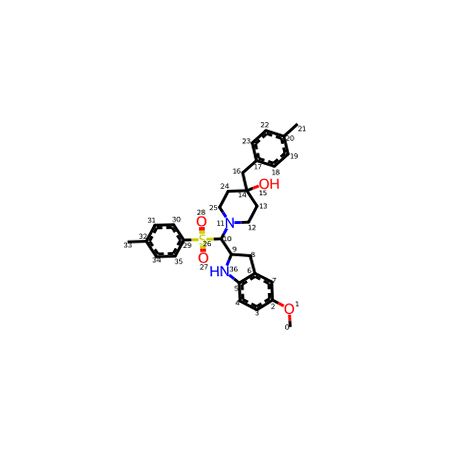 COc1ccc2c(c1)CC(C(N1CCC(O)(Cc3ccc(C)cc3)CC1)S(=O)(=O)c1ccc(C)cc1)N2